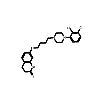 S=C1CCc2ccc(OCCCCN3CCN(c4cccc(Cl)c4Cl)CC3)cc2N1